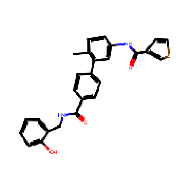 Cc1ccc(NC(=O)c2ccsc2)cc1-c1ccc(C(=O)NCc2ccccc2O)cc1